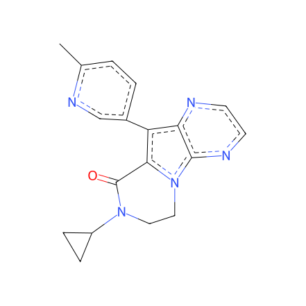 Cc1ccc(-c2c3n(c4nccnc24)CCN(C2CC2)C3=O)cn1